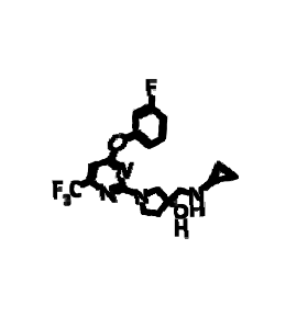 O[C@@]1(CNC2CC2)CCN(c2nc(Oc3cccc(F)c3)cc(C(F)(F)F)n2)C1